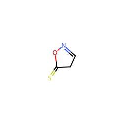 S=C1CC=NO1